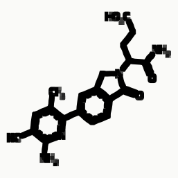 N#Cc1cc(C(F)(F)F)c(-c2ccc3c(c2)CN(C(CCC(=O)O)C(N)=O)C3=O)nc1N